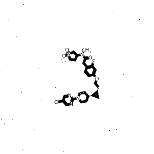 CN(C(=O)Cc1ccc(OCC[C@@H]2C[C@@H]2C2CCN(c3ncc(Cl)cn3)CC2)cc1F)C1CCS(=O)(=O)C1